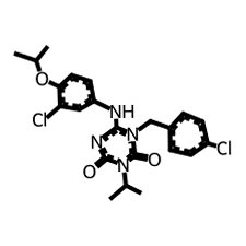 CC(C)Oc1ccc(Nc2nc(=O)n(C(C)C)c(=O)n2Cc2ccc(Cl)cc2)cc1Cl